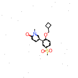 Cn1cc(-c2cc(S(C)(=O)=O)ccc2OCC2CCC2)ccc1=O